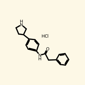 Cl.O=C(Cc1ccccc1)Nc1ccc(C2CCNC2)cc1